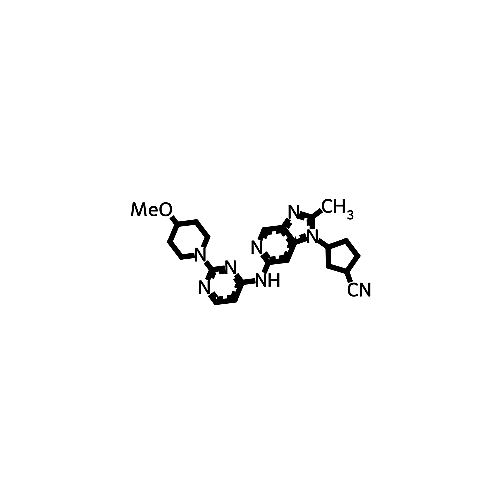 COC1CCN(c2nccc(Nc3cc4c(cn3)nc(C)n4C3CCC(C#N)C3)n2)CC1